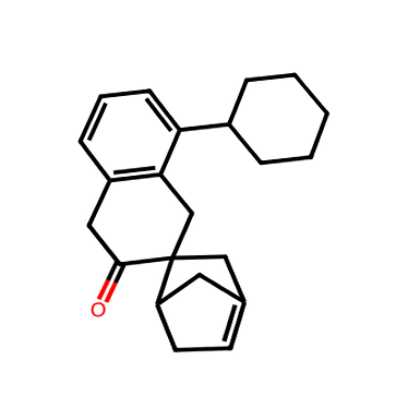 O=C1Cc2cccc(C3CCCCC3)c2CC12CC1=CCC2C1